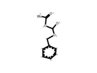 CC(C)(C)C(=O)OC([O])OCc1ccccc1